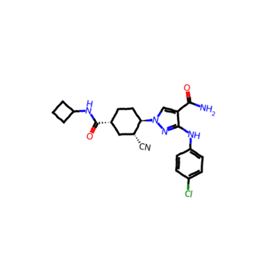 N#C[C@@H]1C[C@H](C(=O)NC2CCC2)CC[C@H]1n1cc(C(N)=O)c(Nc2ccc(Cl)cc2)n1